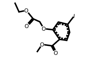 CCOC(=O)COc1cc(I)ccc1C(=O)OC